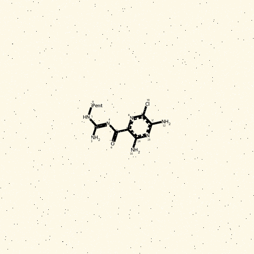 CCCC(C)N/C(N)=N/C(=O)c1nc(Cl)c(N)nc1N